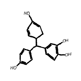 OC1=CCC(C(c2ccc(O)cc2)c2ccc(O)c(O)c2)C=C1